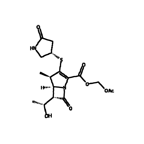 CC(=O)OCOC(=O)C1=C(S[C@@H]2CNC(=O)C2)[C@H](C)[C@@H]2[C@@H]([C@@H](C)O)C(=O)N12